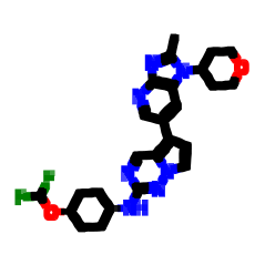 Cc1nc2ncc(-c3ccn4nc(N[C@H]5CC[C@@H](OC(F)F)CC5)ncc34)cc2n1C1CCOCC1